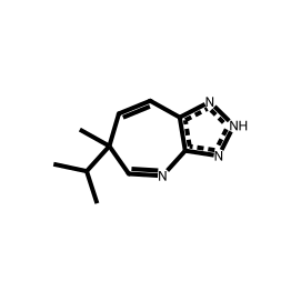 CC(C)C1(C)C=Cc2n[nH]nc2N=C1